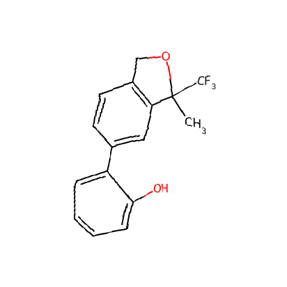 CC1(C(F)(F)F)OCc2ccc(-c3ccccc3O)cc21